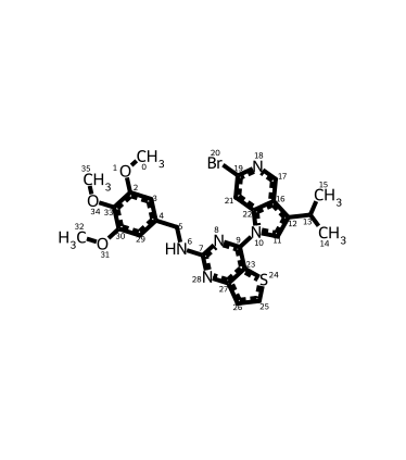 COc1cc(CNc2nc(-n3cc(C(C)C)c4cnc(Br)cc43)c3sccc3n2)cc(OC)c1OC